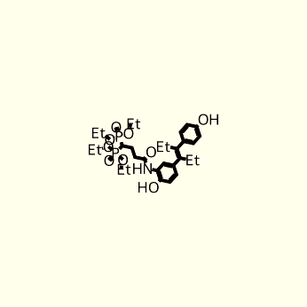 CCOP(=O)(OCC)C(CCC(=O)Nc1cc(C(CC)=C(CC)c2ccc(O)cc2)ccc1O)P(=O)(OCC)OCC